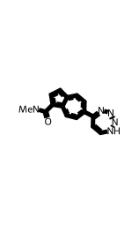 CNC(=O)c1ccc2ccc(C3=NN=NNC=C3)ccc1-2